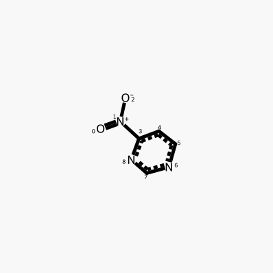 O=[N+]([O-])c1ccn[c]n1